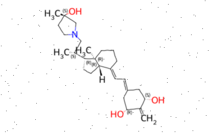 C=C1[C@H](O)CC(=CC=C2CCC[C@]3(C)[C@@H]([C@H](C)CN4CC[C@](C)(O)C4)CC[C@@H]23)C[C@@H]1O